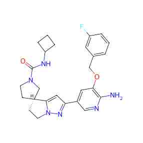 Nc1ncc(-c2cc3n(n2)CC[C@@]32CCN(C(=O)NC3CCC3)C2)cc1OCc1cccc(F)c1